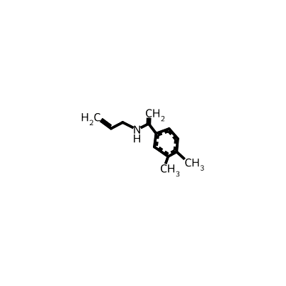 C=CCNC(=C)c1ccc(C)c(C)c1